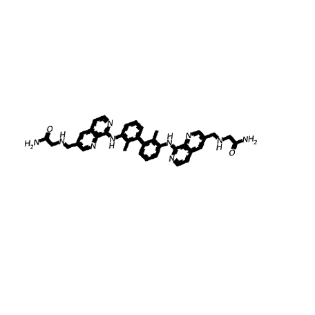 Cc1c(Nc2nccc3cc(CNCC(N)=O)cnc23)cccc1-c1cccc(Nc2nccc3cc(CNCC(N)=O)cnc23)c1C